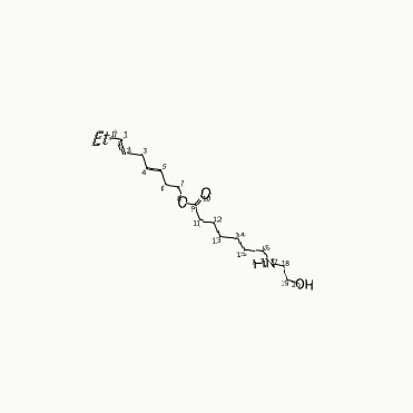 CCC=CCCCCCOC(=O)CCCCCCNCCO